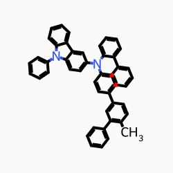 Cc1ccc(-c2ccc(N(c3ccc4c(c3)c3ccccc3n4-c3ccccc3)c3ccccc3-c3ccccc3)cc2)cc1-c1ccccc1